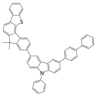 CC1(C)c2cc(-c3ccc4c(c3)c3cc(-c5ccc(-c6ccccc6)cc5)ccc3n4-c3ccccc3)ccc2-c2c1ccc1c2sc2ccccc21